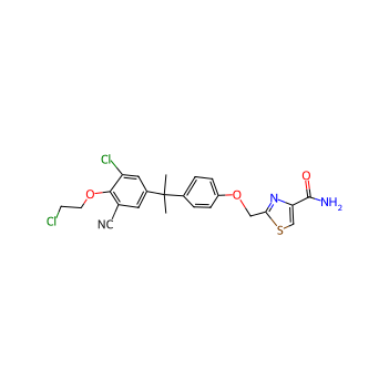 CC(C)(c1ccc(OCc2nc(C(N)=O)cs2)cc1)c1cc(Cl)c(OCCCl)c(C#N)c1